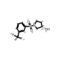 O=S(=O)(c1cccc(C(F)(F)F)c1)N1CC[C@H](O)C1